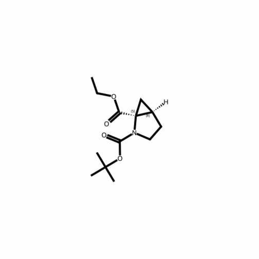 CCOC(=O)[C@]12C[C@H]1CCN2C(=O)OC(C)(C)C